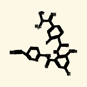 C#Cc1ccc(NC(=O)c2cc(Cl)cc(OC)c2NC(=O)c2ccc(C(=N)N(C)CCC)cc2F)nc1